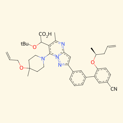 C=CCOC1(C)CCN(c2c(C(OC(C)(C)C)C(=O)O)c(C)nc3cc(-c4cccc(-c5cc(C#N)ccc5O[C@@H](C)CC=C)c4)nn23)CC1